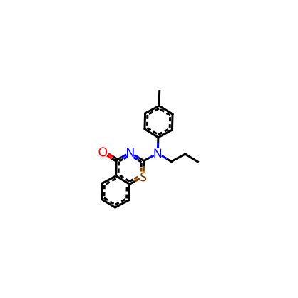 CCCN(c1ccc(C)cc1)c1nc(=O)c2ccccc2s1